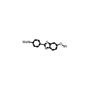 CNc1ccc(-c2nc3ccc(OC(C)C)cc3s2)cc1